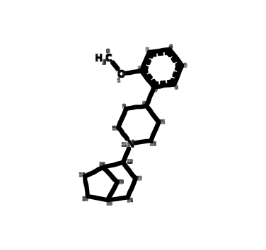 COc1ccccc1C1CCN(C2CCC3CCC2C3)CC1